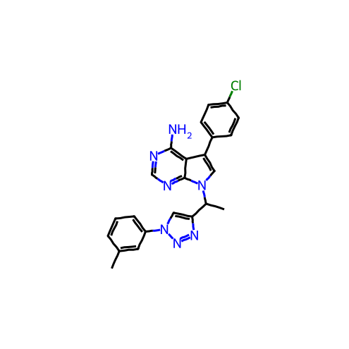 Cc1cccc(-n2cc(C(C)n3cc(-c4ccc(Cl)cc4)c4c(N)ncnc43)nn2)c1